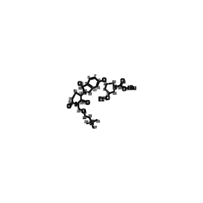 CCO[C@H]1C[C@H](Oc2ccc3c(c2)CN(C2CCC(=O)N(COCC[Si](C)(C)C)C2=O)C3=O)CN(C(=O)OC(C)(C)C)C1